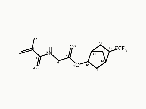 C=C(C)C(=O)NCC(=O)OC1CC2CC1CC2C(F)(F)F